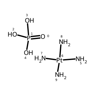 O=P(O)(O)O.[NH2][Pt]([NH2])([NH2])[NH2]